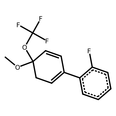 COC1(OC(F)(F)F)C=CC(c2ccccc2F)=CC1